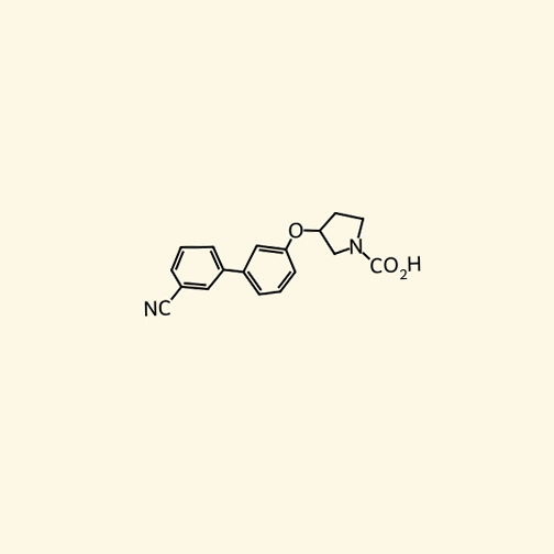 N#Cc1cccc(-c2cccc(OC3CCN(C(=O)O)C3)c2)c1